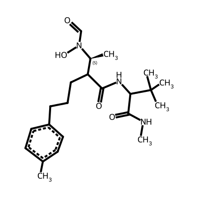 CNC(=O)C(NC(=O)C(CCCc1ccc(C)cc1)[C@H](C)N(O)C=O)C(C)(C)C